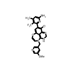 CSc1cncc(CN2C=COc3cc(-c4nc(N)cc(C)c4C(F)(F)F)c(Cl)c4c3=C2NCN=4)c1